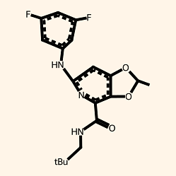 CC1Oc2cc(Nc3cc(F)cc(F)c3)nc(C(=O)NCC(C)(C)C)c2O1